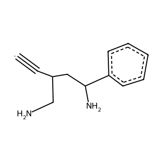 [C]#CC(CN)CC(N)c1ccccc1